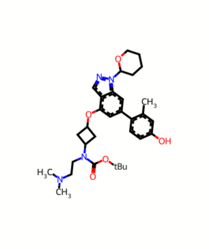 Cc1cc(O)ccc1-c1cc(OC2CC(N(CCN(C)C)C(=O)OC(C)(C)C)C2)c2cnn(C3CCCCO3)c2c1